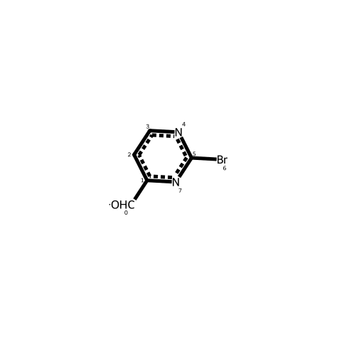 O=[C]c1ccnc(Br)n1